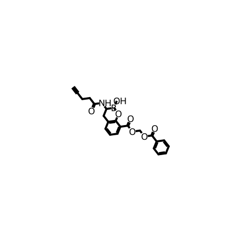 C#CCCC(=O)NC1Cc2cccc(C(=O)OCOC(=O)c3ccccc3)c2OB1O